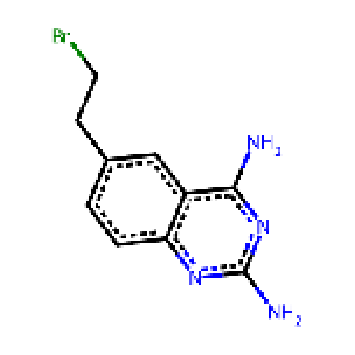 Nc1nc(N)c2cc(CCBr)ccc2n1